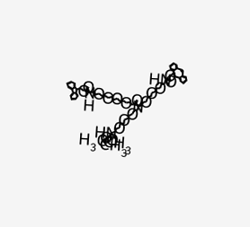 CC(C)(C)OC(=O)NCCOCCOCCOCCN(CCOCCOCCOCCNC(=O)OC1Cc2ccccc2C#Cc2ccccc21)C(=O)CCOCCOCCOCCOCCNC(=O)OCC1c2ccccc2-c2ccccc21